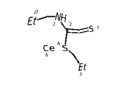 CCNC(=S)SCC.[Ce]